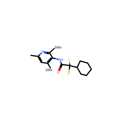 CSc1cc(C)nc(SC)c1NC(=O)C(F)(F)C1CCCCC1